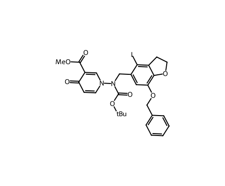 COC(=O)c1cn(N(Cc2cc(OCc3ccccc3)c3c(c2I)CCO3)C(=O)OC(C)(C)C)ccc1=O